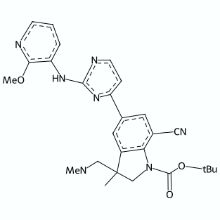 CNCC1(C)CN(C(=O)OC(C)(C)C)c2c(C#N)cc(-c3ccnc(Nc4cccnc4OC)n3)cc21